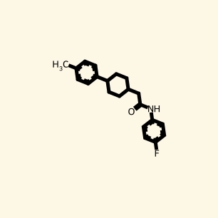 Cc1ccc(C2CCC(CC(=O)Nc3ccc(F)cc3)CC2)cc1